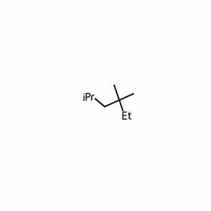 [CH]CC(C)(C)CC(C)C